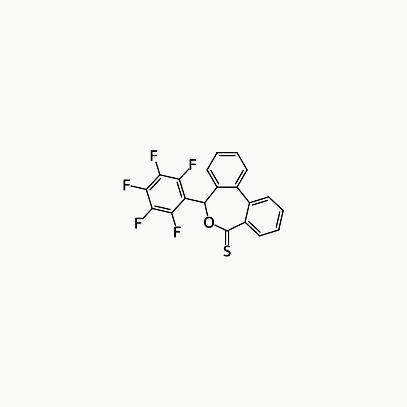 Fc1c(F)c(F)c(C2OC(=S)c3ccccc3-c3ccccc32)c(F)c1F